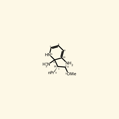 CCC[C@@H](COC)C1(N)NC=CC=C1N